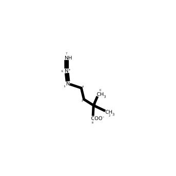 CC(C)(CCN=[N+]=N)C(=O)[O-]